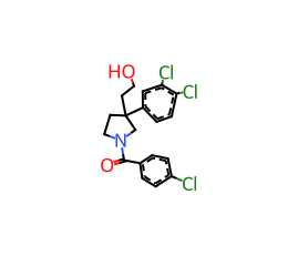 O=C(c1ccc(Cl)cc1)N1CCC(CCO)(c2ccc(Cl)c(Cl)c2)C1